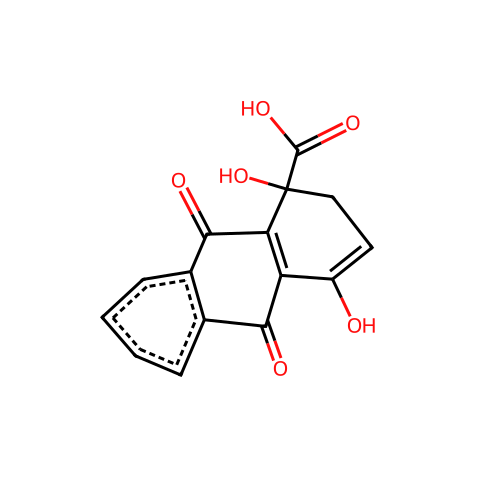 O=C1C2=C(C(=O)c3ccccc31)C(O)(C(=O)O)CC=C2O